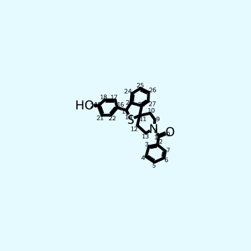 O=C(c1ccccc1)N1CCC2(CC1)SC(c1ccc(O)cc1)c1ccccc12